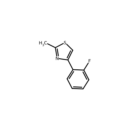 Cc1nc(-c2ccccc2F)cs1